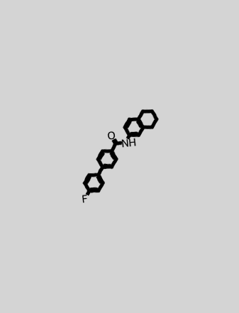 O=C(Nc1ccc2c(c1)CCCC2)c1ccc(-c2ccc(F)cc2)cc1